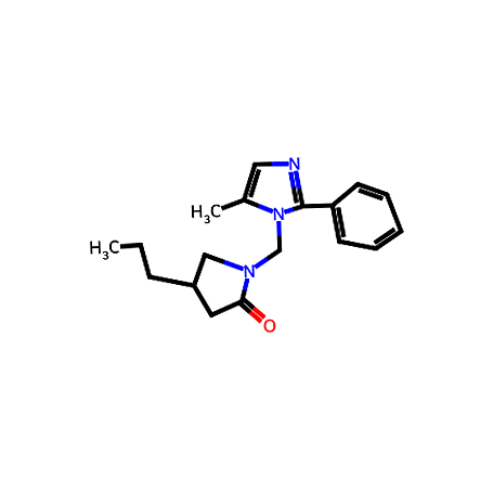 CCCC1CC(=O)N(Cn2c(C)cnc2-c2ccccc2)C1